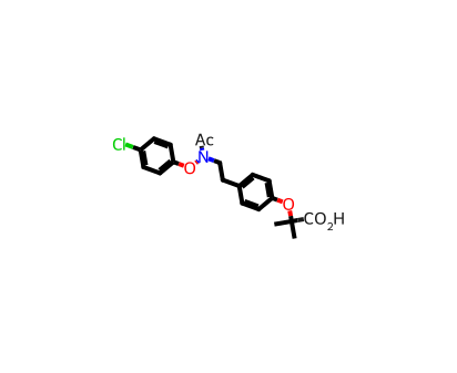 CC(=O)N(CCc1ccc(OC(C)(C)C(=O)O)cc1)Oc1ccc(Cl)cc1